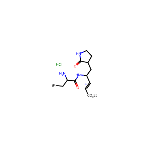 CCOC(=O)/C=C/C(CC1CCNC1=O)NC(=O)C(N)CC(C)C.Cl